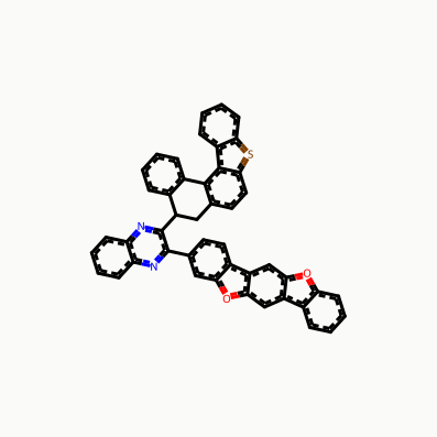 c1ccc2c(c1)-c1c(ccc3sc4ccccc4c13)CC2c1nc2ccccc2nc1-c1ccc2c(c1)oc1cc3c(cc12)oc1ccccc13